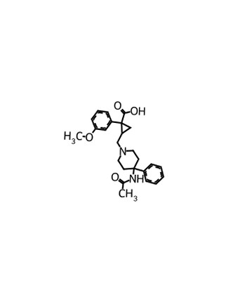 COc1cccc(C2(C(=O)O)CC2CN2CCC(NC(C)=O)(c3ccccc3)CC2)c1